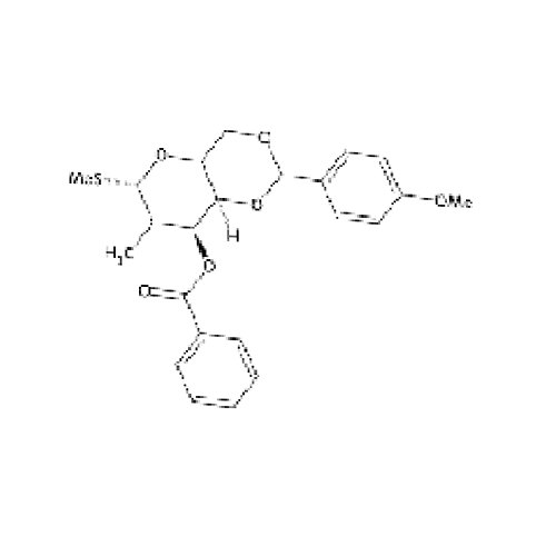 COc1ccc(C2OCC3O[C@@H](SC)C(C)[C@H](OC(=O)c4ccccc4)[C@@H]3O2)cc1